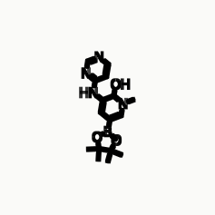 CN1C=C(B2OC(C)(C)C(C)(C)O2)C=C(Nc2ccncn2)C1O